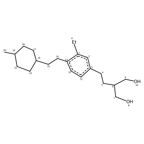 CCc1cc(CCC(CO)CO)ccc1CCC1CCC(C)CC1